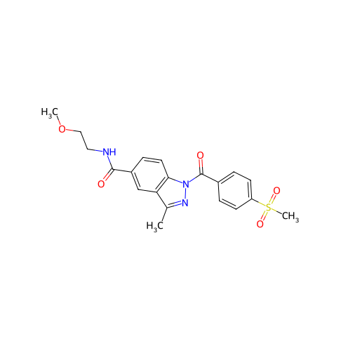 COCCNC(=O)c1ccc2c(c1)c(C)nn2C(=O)c1ccc(S(C)(=O)=O)cc1